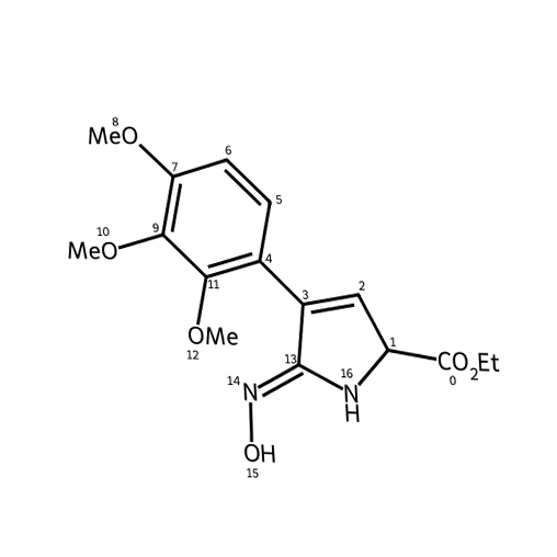 CCOC(=O)C1C=C(c2ccc(OC)c(OC)c2OC)C(=NO)N1